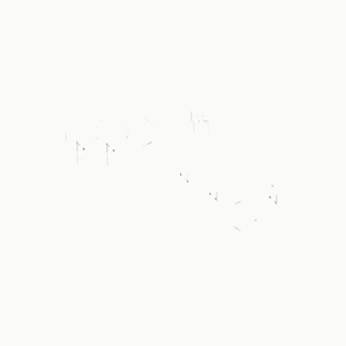 CCNC(=O)Nc1cccc(CCN2CCN(c3cccc4nc(C)ccc34)CC2)c1.Cl.Cl